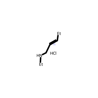 CC/C=C/CNCC.Cl